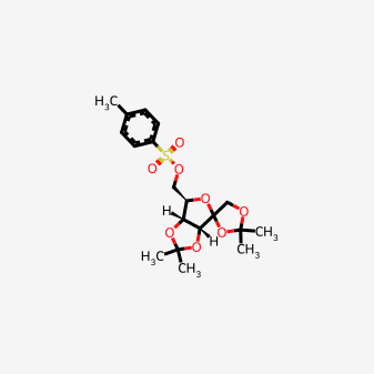 Cc1ccc(S(=O)(=O)OC[C@H]2OC3(COC(C)(C)O3)[C@@H]3OC(C)(C)O[C@@H]32)cc1